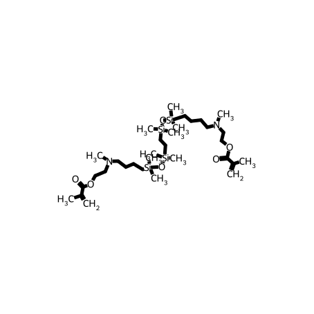 C=C(C)C(=O)OCCN(C)CCCC[Si](C)(C)O[Si](C)(C)CC[Si](C)(C)O[Si](C)(C)CCCCN(C)CCOC(=O)C(=C)C